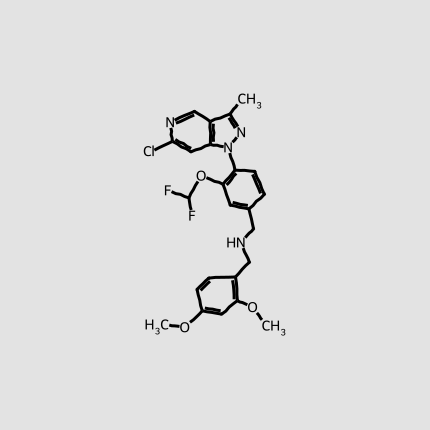 COc1ccc(CNCc2ccc(-n3nc(C)c4cnc(Cl)cc43)c(OC(F)F)c2)c(OC)c1